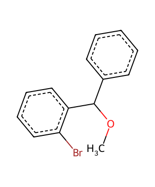 COC(c1ccccc1)c1ccccc1Br